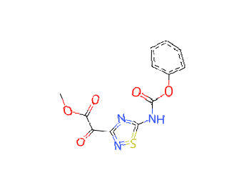 COC(=O)C(=O)c1nsc(NC(=O)Oc2ccccc2)n1